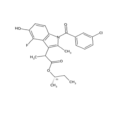 CC[C@H](C)OC(=O)C(C)c1c(C)n(C(=O)c2cccc(Cl)c2)c2ccc(O)c(F)c12